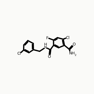 NC(=O)c1cc(C(=O)NCc2cccc(Cl)c2)c(F)cc1Cl